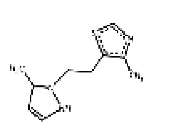 Cc1ncsc1CCN1NC=CC1C